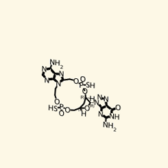 Nc1nc2c(nnn2[C@@H]2O[C@@H]3COP(=O)(S)OCCn4c(nc5c(N)ncnc54)COP(=O)(S)O[C@@H]2C3)c(=O)[nH]1